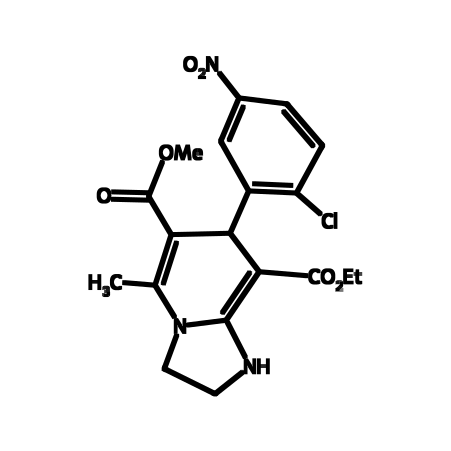 CCOC(=O)C1=C2NCCN2C(C)=C(C(=O)OC)C1c1cc([N+](=O)[O-])ccc1Cl